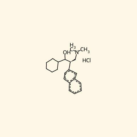 CN(C)C[C@@H](c1ccc2ccccc2c1)C(O)C1CCCCC1.Cl